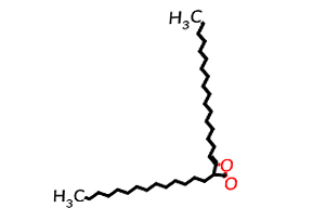 CCCCCCCCCCCCCCCCC=C1OC(=O)C1CCCCCCCCCCCCCC